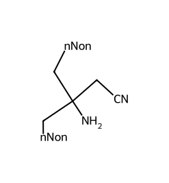 CCCCCCCCCCC(N)(CC#N)CCCCCCCCCC